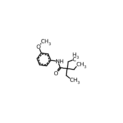 CCC(CC)(CC)C(=O)Nc1cccc(OC)c1